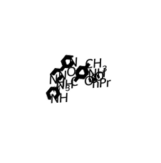 CCCS(=O)(=O)Nc1cc(C)c(Oc2ncccc2-c2ccnc(N[C@H]3CCCNC3)n2)cc1C